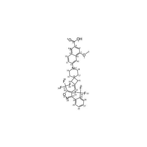 COc1cc(C(=O)O)nc2ccc(N3CCC4(CC3)CC(=Cc3c(-c5ccccc5C(F)(F)F)noc3C(F)(F)F)C4)cc12